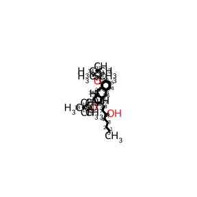 CCCCC[C@H](O)CC[C@H]1C(O[Si](C)(C)C(C)(C)C)C[C@@H]2Cc3c(cccc3O[Si](C)(C)C(C)(C)C)C[C@@H]21